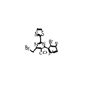 O=C(O)c1c(CBr)nc(-c2nccs2)nc1-c1cccc(F)c1Br